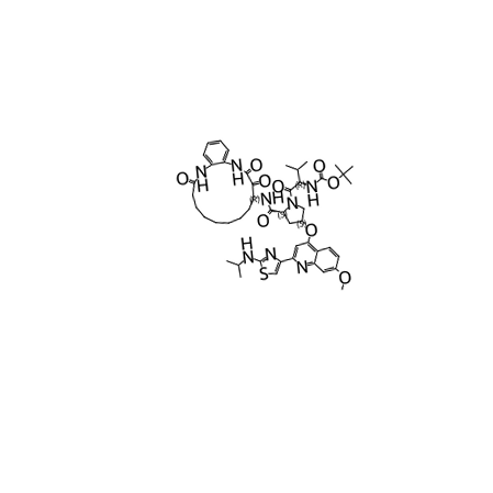 COc1ccc2c(O[C@H]3C[C@@H](C(=O)N[C@@H]4CCCCCCCC(=O)Nc5ccccc5NC(=O)C4=O)N(C(=O)[C@H](NC(=O)OC(C)(C)C)C(C)C)C3)cc(-c3csc(NC(C)C)n3)nc2c1